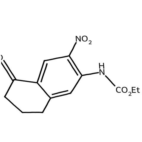 CCOC(=O)Nc1cc2c(cc1[N+](=O)[O-])C(=O)CCC2